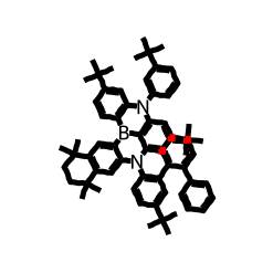 CC(C)(C)c1cccc(N2c3cc(C(C)(C)C)ccc3B3c4cc5c(cc4N(c4ccc(C(C)(C)C)cc4-c4ccccc4-c4ccccc4)c4cc(C(C)(C)C)cc2c43)C(C)(C)CCC5(C)C)c1